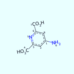 Nc1cc(C(=O)O)nc(C(=O)O)c1